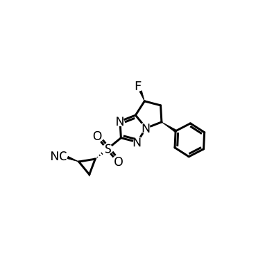 N#C[C@@H]1C[C@H]1S(=O)(=O)c1nc2n(n1)[C@H](c1ccccc1)C[C@@H]2F